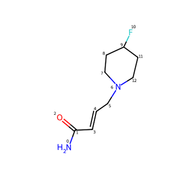 NC(=O)C=CCN1CCC(F)CC1